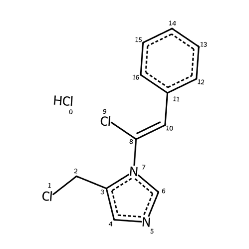 Cl.ClCc1cncn1C(Cl)=Cc1ccccc1